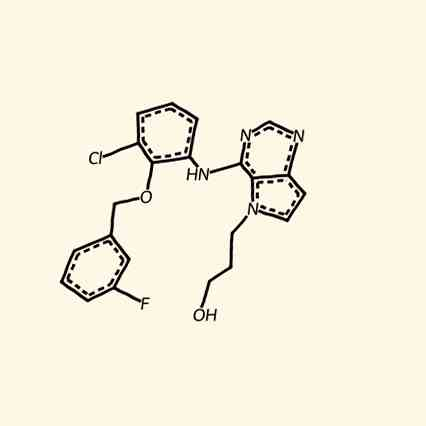 OCCCn1ccc2ncnc(Nc3cccc(Cl)c3OCc3cccc(F)c3)c21